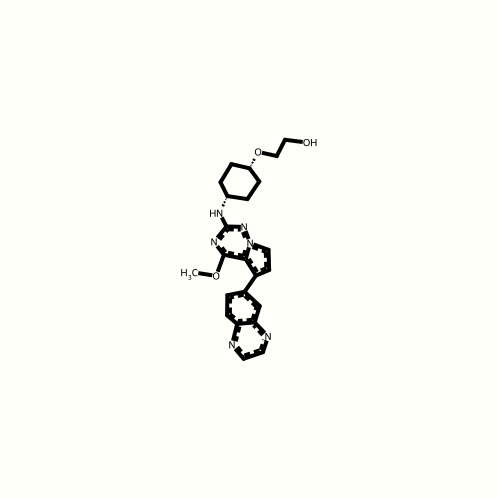 COc1nc(N[C@H]2CC[C@@H](OCCO)CC2)nn2ccc(-c3ccc4nccnc4c3)c12